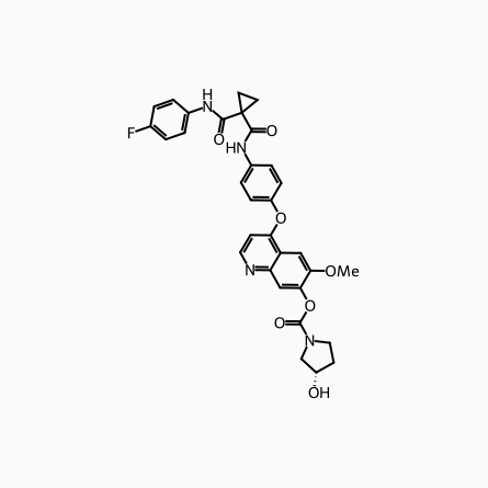 COc1cc2c(Oc3ccc(NC(=O)C4(C(=O)Nc5ccc(F)cc5)CC4)cc3)ccnc2cc1OC(=O)N1CC[C@H](O)C1